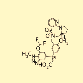 Cc1ccc([C@@H](CC(=O)O)c2cc(OC(F)F)c3c(c2)nnn3C)cc1CN1C[C@H]2CCCN2c2ncccc2S1(=O)=O